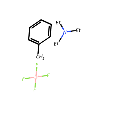 CCN(CC)CC.Cc1ccccc1.F[B-](F)(F)F